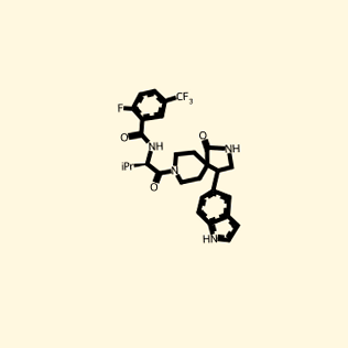 CC(C)[C@@H](NC(=O)c1cc(C(F)(F)F)ccc1F)C(=O)N1CCC2(CC1)C(=O)NCC2c1ccc2[nH]ccc2c1